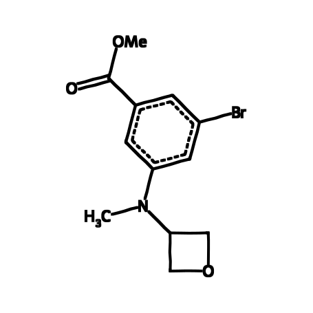 COC(=O)c1cc(Br)cc(N(C)C2COC2)c1